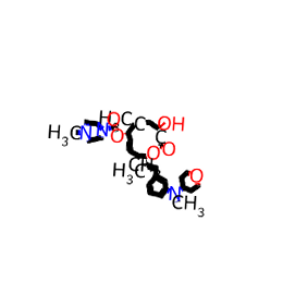 C/C(=C\c1cccc(N(C)C2CCOCC2)c1)[C@H]1OC(=O)C[C@H](O)CC[C@H](C)[C@@H](OC(=O)N2CCN(C)CC2)/C=C/[C@@H]1C